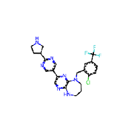 FC(F)(F)c1ccc(Cl)c(CN2CCCNc3ncc(-c4cnc(C5CCNC5)nc4)nc32)c1